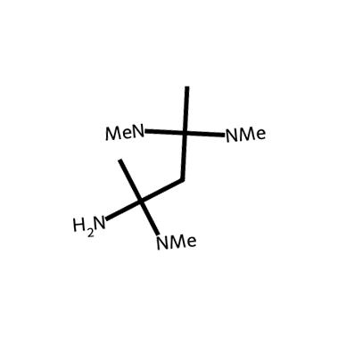 CNC(C)(N)CC(C)(NC)NC